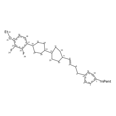 CCCCCc1ccc(CC/C=C/C2CCC(C3CCC(c4ccc(OCC)c(F)c4F)CC3)CC2)cc1